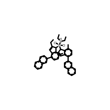 CCC1=Cc2c(-c3ccc4ccccc4c3)ccc(C)c2[CH]1[Zr]([Cl])([Cl])([CH]1C(C)=Cc2c(-c3ccc4ccccc4c3)ccc(C)c21)[SiH](CC)CC